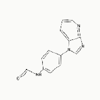 O=CNc1ccc(-n2cnc3ncccc32)cc1